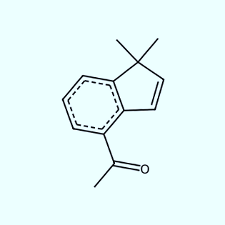 CC(=O)c1cccc2c1C=CC2(C)C